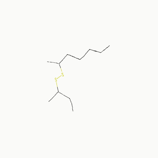 CCCCCC(C)SSC(C)CC